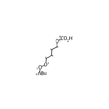 CCCCOOCCCCOC(=O)O